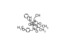 C#CCN1CC(=O)N2[C@@H](C(C)CC)C(=O)N(Cc3ccc(OC)cc3)C[C@@H]2N1C(=O)NCc1ccccc1